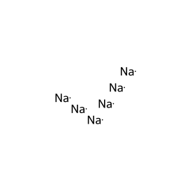 [Na].[Na].[Na].[Na].[Na].[Na]